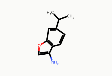 CC(C)c1ccc2c(N)coc2c1